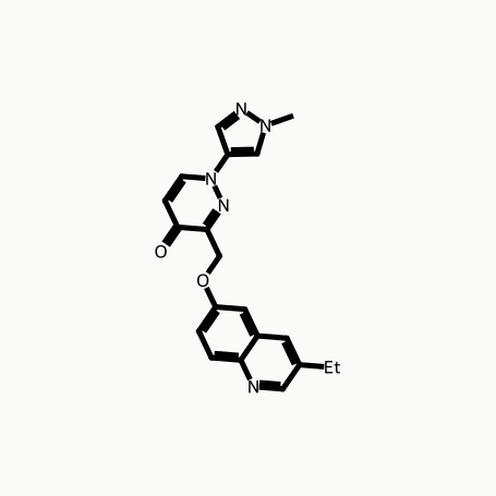 CCc1cnc2ccc(OCc3nn(-c4cnn(C)c4)ccc3=O)cc2c1